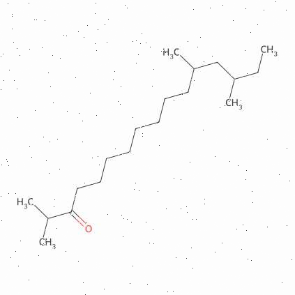 CCC(C)CC(C)CCCCCCCCC(=O)C(C)C